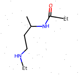 CCNCCC(C)NC(=O)CC